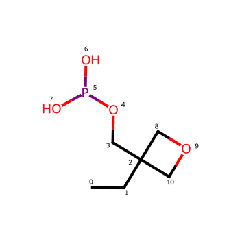 CCC1(COP(O)O)COC1